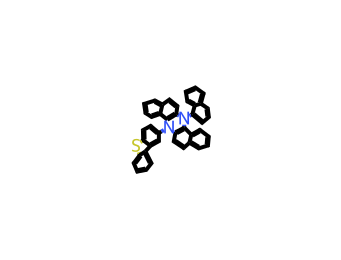 c1ccc2c(N3c4ccc5ccccc5c4N(c4ccc5sc6ccccc6c5c4)c4ccc5ccccc5c43)cccc2c1